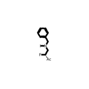 CC(=O)[C@H](F)CN(I)Cc1ccccc1